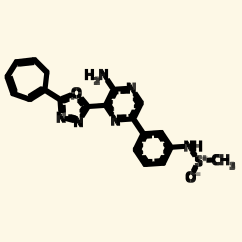 C[S+]([O-])Nc1cccc(-c2cnc(N)c(-c3nnc(C4=CC=CC=CC4)o3)n2)c1